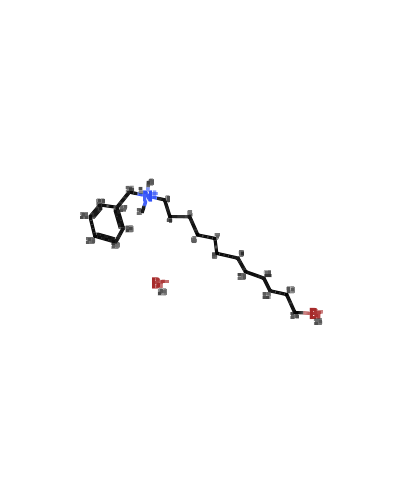 C[N+](C)(CCCCCCCCCCCCBr)Cc1ccccc1.[Br-]